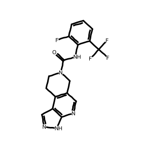 O=C(Nc1c(F)cccc1C(F)(F)F)N1CCc2c(cnc3[nH]ncc23)C1